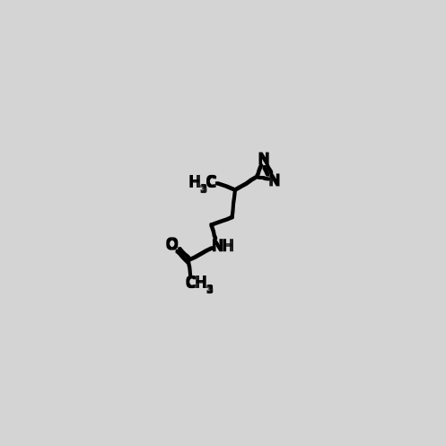 CC(=O)NCCC(C)C1N=N1